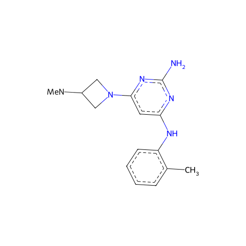 CNC1CN(c2cc(Nc3ccccc3C)nc(N)n2)C1